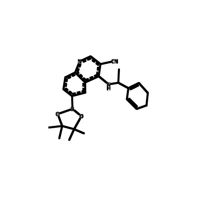 CC(Nc1c(C#N)cnc2ccc(B3OC(C)(C)C(C)(C)O3)cc12)C1=CCCC=C1